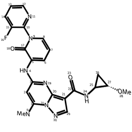 CNc1cc(Nc2cccn(-c3ncccc3F)c2=O)nc2c(C(=O)NC3C[C@@H]3OC)cnn12